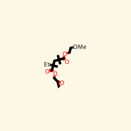 CCC(C)(CC(C)(C)C(=O)OCCOC)C(=O)OCC1CO1